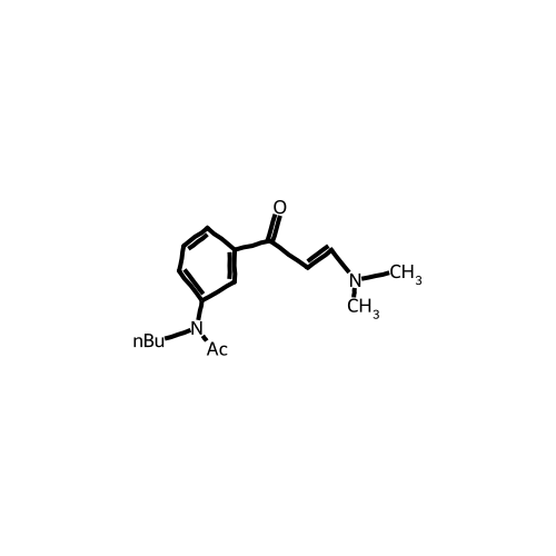 CCCCN(C(C)=O)c1cccc(C(=O)/C=C/N(C)C)c1